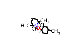 CC1CCC(ON2C(C)(C)C[CH]CC2(C)C)CC1